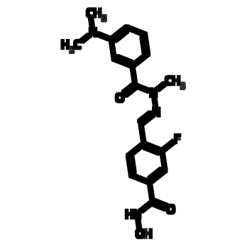 CN(/N=C/c1ccc(C(=O)NO)cc1F)C(=O)c1cccc(N(C)C)c1